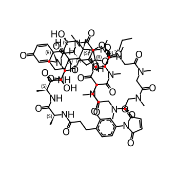 CCC[C@@H]1O[C@@H]2C[C@H]3[C@@H]4CCC5=CC(=O)C=C[C@]5(C)[C@H]4[C@@H](O)C[C@]3(C)[C@]2(C(=O)COCNC(=O)[C@H](C)NC(=O)[C@H](C)NC(=O)CCc2ccc(N3C(=O)C=CC3=O)cc2OCCCC(=O)N(C)CC(=O)N(C)CC(=O)N(C)CC(=O)N(C)CC(=O)N(C)CC(=O)N(C)CC(=O)N(C)CC(=O)N(C)CC(=O)N(C)CC(=O)N(C)CC(=O)O)O1